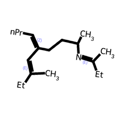 CCC/C=C(\C=C(/C)CC)CCC(C)/N=C(\C)CC